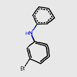 CCC1=CC(Nc2ccccc2)=C=C=C1